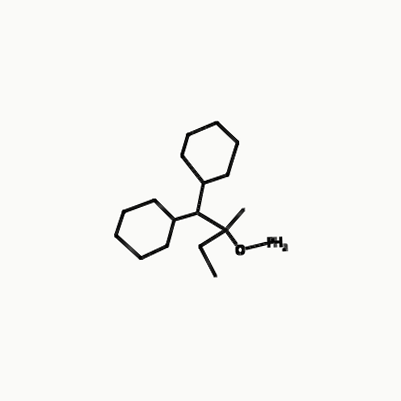 CCC(C)(OP)C(C1CCCCC1)C1CCCCC1